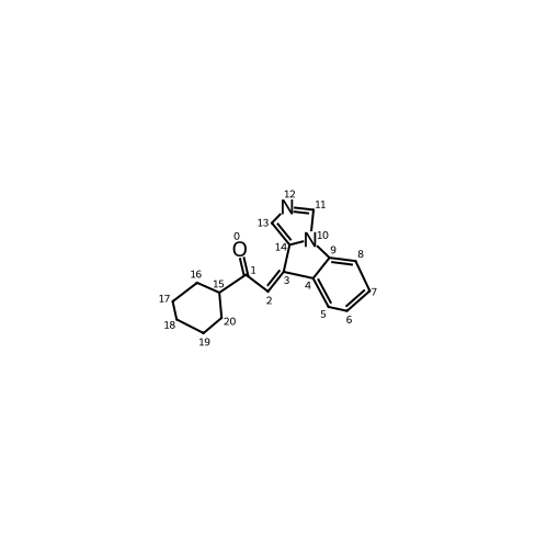 O=C(C=c1c2ccccc2n2cncc12)C1CCCCC1